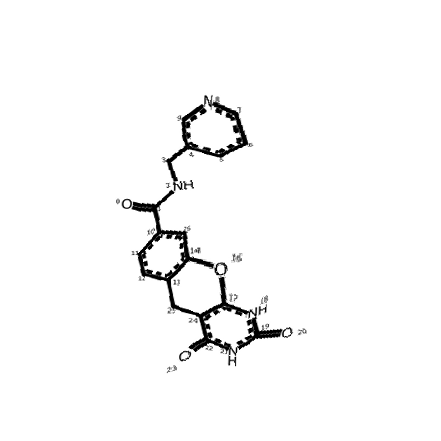 O=C(NCc1cccnc1)c1ccc2c(c1)Oc1[nH]c(=O)[nH]c(=O)c1C2